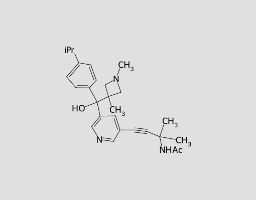 CC(=O)NC(C)(C)C#Cc1cncc(C(O)(c2ccc(C(C)C)cc2)C2(C)CN(C)C2)c1